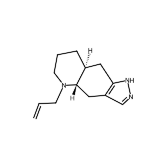 C=CCN1CCC[C@H]2Cc3[nH]ncc3C[C@@H]21